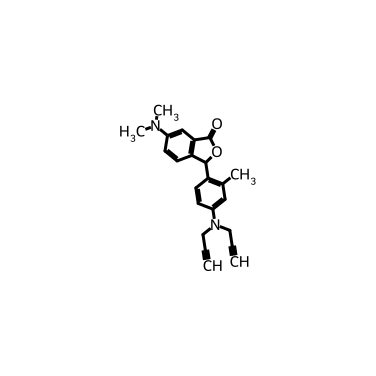 C#CCN(CC#C)c1ccc(C2OC(=O)c3cc(N(C)C)ccc32)c(C)c1